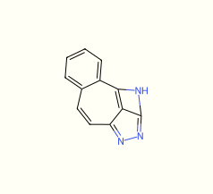 c1ccc2c(c1)ccc1nnc3[nH]c2c13